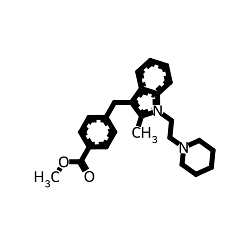 COC(=O)c1ccc(Cc2c(C)n(CCN3CCCCC3)c3ccccc23)cc1